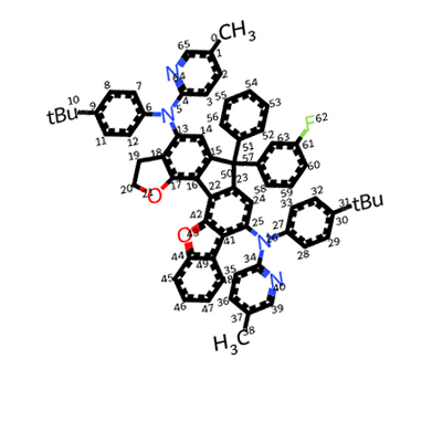 Cc1ccc(N(c2ccc(C(C)(C)C)cc2)c2cc3c(c4c2CCO4)-c2c(cc(N(c4ccc(C(C)(C)C)cc4)c4ccc(C)cn4)c4c2oc2ccccc24)C3(c2ccccc2)c2cccc(F)c2)nc1